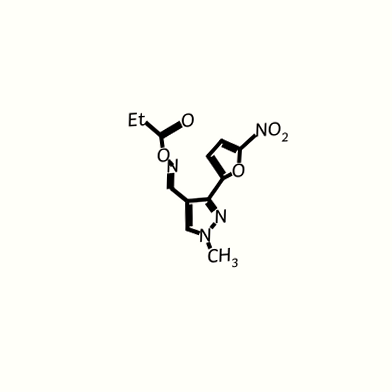 CCC(=O)ON=Cc1cn(C)nc1-c1ccc([N+](=O)[O-])o1